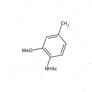 [CH2]c1ccc(NC(C)=O)c(OC)c1